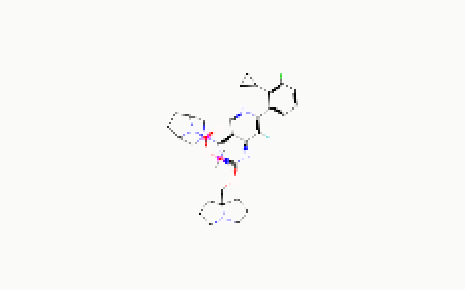 CC(C)(C)OC(=O)N1[C@@H]2CC[C@H]1CN(c1nc(OCC34CCCN3CCC4)nc3c(F)c(-c4cccc(Cl)c4C4CC4)ncc13)C2